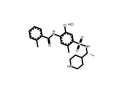 Cc1ccccc1C(=O)Nc1cc(C)c(S(=O)(=O)N[C@H](C)C2CCNCC2)cc1Cl.Cl